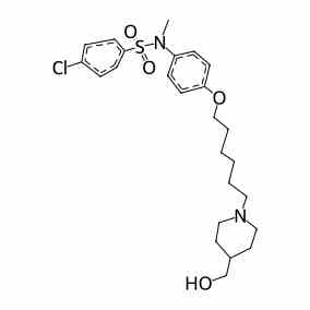 CN(c1ccc(OCCCCCCN2CCC(CO)CC2)cc1)S(=O)(=O)c1ccc(Cl)cc1